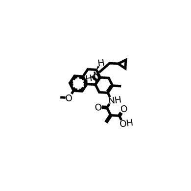 C=C(C(=O)O)C(=O)NC1=C(C)C[C@@]2(O)[C@H]3Cc4ccc(OC)cc4[C@@]2(CCN3CC2CC2)C1